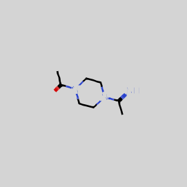 [CH2]C(=N)N1CCN(C(C)=O)CC1